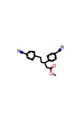 COC(=O)CC(CCc1ccc(C#N)cc1)c1ccc(C#N)cc1